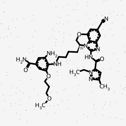 CCn1nc(C)cc1C(=O)Nc1nc2cc(C#N)cc3c2n1[C@@H](CCCCNc1c(N)cc(C(N)=O)cc1OCCCOC)CO3